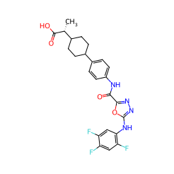 C[C@@H](C(=O)O)C1CCC(c2ccc(NC(=O)c3nnc(Nc4cc(F)c(F)cc4F)o3)cc2)CC1